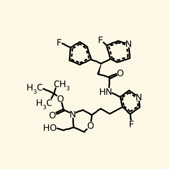 CC(C)(C)OC(=O)N1CC(CCc2c(F)cncc2NC(=O)C[C@@H](c2ccc(F)cc2)c2ccncc2F)OCC1CO